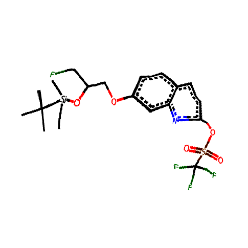 CC(C)(C)[Si](C)(C)OC(CF)COc1ccc2ccc(OS(=O)(=O)C(F)(F)F)nc2c1